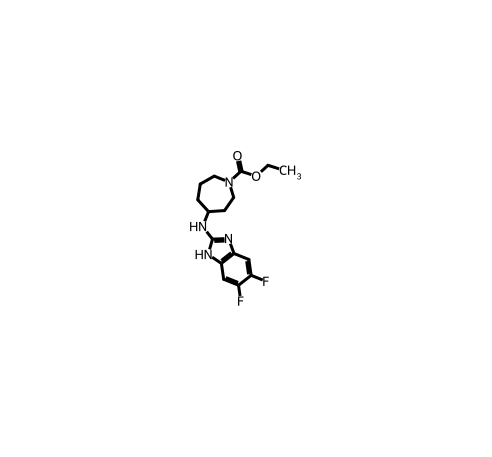 CCOC(=O)N1CCCC(Nc2nc3cc(F)c(F)cc3[nH]2)CC1